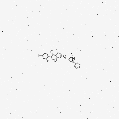 O=c1c(-c2ccc(F)cc2F)coc2cc(OCc3cnn(-c4ccccc4)c3)ccc12